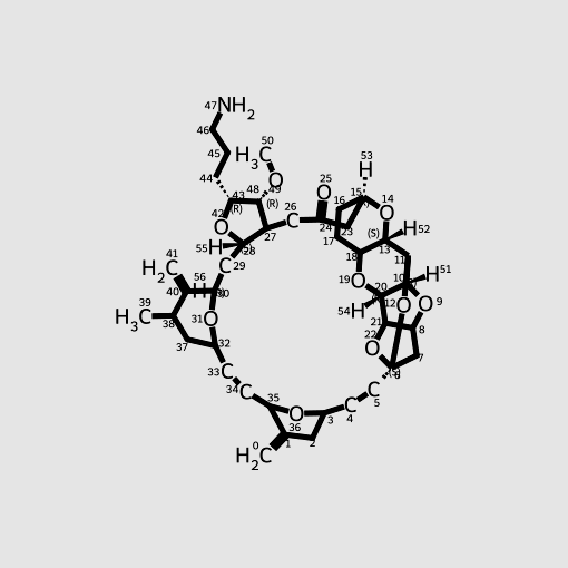 C=C1CC2CC[C@@]34CC5O[C@H]6C(O3)[C@H]3O[C@H](CCC3O[C@H]6C5O4)CC(=O)CC3[C@H](C[C@H]4OC(CCC1O2)CC(C)C4=C)O[C@H](CCCN)[C@@H]3OC